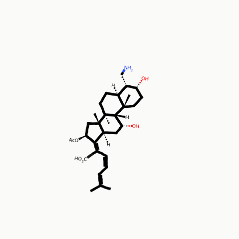 CC(=O)O[C@H]1C[C@@]2(C)[C@@H](C[C@@H](O)[C@H]3[C@@]4(C)CC[C@@H](O)[C@@H](CN)[C@@H]4CC[C@@]32C)/C1=C(\C=C/C=C(C)C)C(=O)O